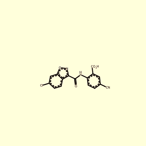 N#Cc1ccc(NC(=O)c2noc3cc(Cl)ccc23)c(C(=O)O)c1